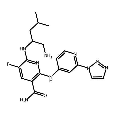 CC(C)CC(CN)Nc1nc(Nc2ccnc(-n3ccnn3)c2)c(C(N)=O)cc1F